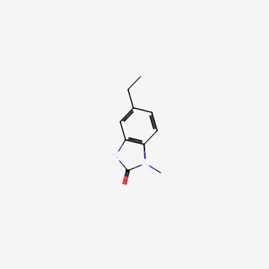 CCc1ccc2c(c1)[nH]c(=O)n2C